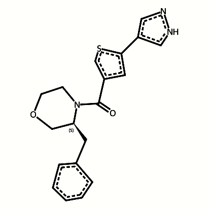 O=C(c1csc(-c2cn[nH]c2)c1)N1CCOC[C@@H]1Cc1ccccc1